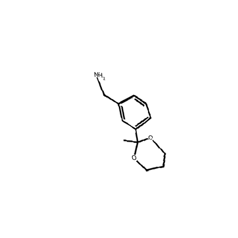 CC1(c2cccc(CN)c2)OCCCO1